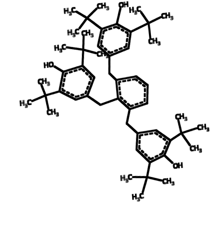 CC(C)(C)c1cc(Cc2cccc(Cc3cc(C(C)(C)C)c(O)c(C(C)(C)C)c3)c2Cc2cc(C(C)(C)C)c(O)c(C(C)(C)C)c2)cc(C(C)(C)C)c1O